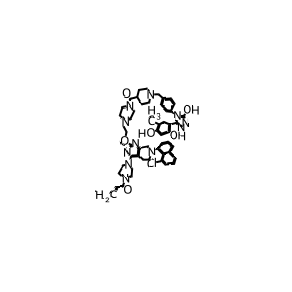 C=CC(=O)N1CCN(c2nc(OCCN3CCN(C(=O)C4CCN(Cc5ccc(-n6c(O)nnc6-c6cc(C)c(O)cc6O)cc5)CC4)CC3)nc3c2CCN(c2cccc4cccc(Cl)c24)C3)CC1